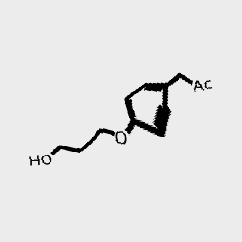 CC(=O)Cc1ccc(OCCCO)cc1